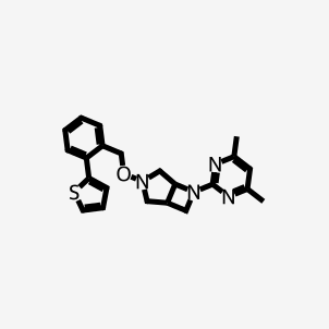 Cc1cc(C)nc(N2CC3CN(OCc4ccccc4-c4cccs4)CC32)n1